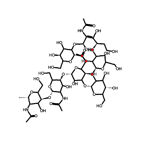 CC(=O)N/C(=C(\O)[C@H](O)CCO)[C@@H](O)OC1C(O)[C@H](O)C(CO)O[C@@H]1OCC1O[C@@H](O[C@@H]2C(CO)O[C@@H](O[C@@H]3C(CO)O[C@@H](C)C(NC(C)=O)C3O)C(NC(C)=O)C2O)C(O)C(O[C@H]2OC(CO)[C@@H](O)C(O)C2O[C@@H]2OC(CO)[C@@H](O)C(O)C2NC(C)=O)[C@@H]1O